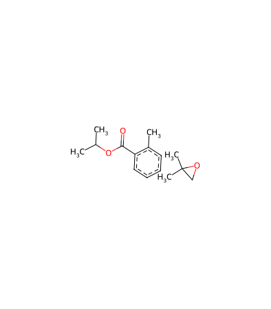 CC1(C)CO1.Cc1ccccc1C(=O)OC(C)C